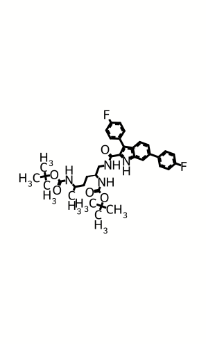 CC(CC[C@@H](CNC(=O)c1[nH]c2cc(-c3ccc(F)cc3)ccc2c1-c1ccc(F)cc1)NC(=O)OC(C)(C)C)NC(=O)OC(C)(C)C